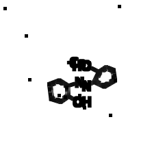 Oc1ccccc1N=Nc1ccccc1O.[Co]